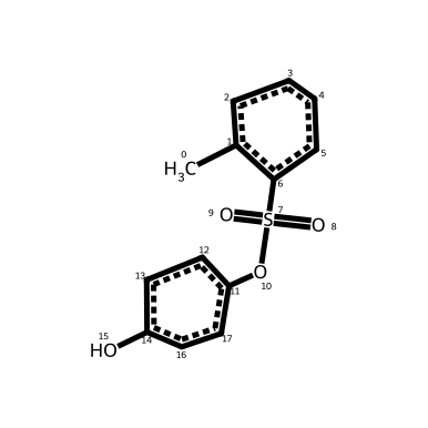 Cc1ccccc1S(=O)(=O)Oc1ccc(O)cc1